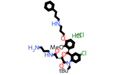 COc1c(OCCCNCCCc2ccccc2)cccc1[C@@H]1O[C@@H](CC(=O)NCCCN)C(=O)N(CC(C)(C)C)c2ccc(Cl)cc21.Cl.Cl